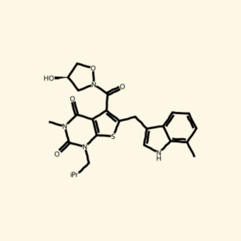 Cc1cccc2c(Cc3sc4c(c3C(=O)N3C[C@@H](O)CO3)c(=O)n(C)c(=O)n4CC(C)C)c[nH]c12